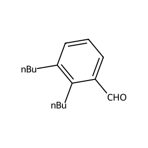 CCCCc1cccc(C=O)c1CCCC